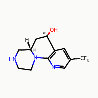 O[C@@H]1C[C@H]2CNCCN2c2ncc(C(F)(F)F)cc21